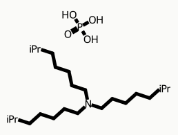 CC(C)CCCCCN(CCCCCC(C)C)CCCCCC(C)C.O=P(O)(O)O